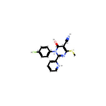 CSc1nc(-c2ccccn2)n(-c2ccc(F)cc2)c(=O)c1C#N